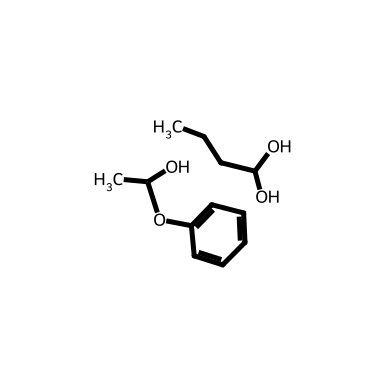 CC(O)Oc1ccccc1.CCCC(O)O